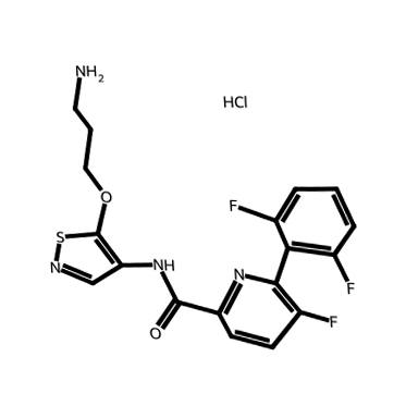 Cl.NCCCOc1sncc1NC(=O)c1ccc(F)c(-c2c(F)cccc2F)n1